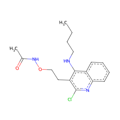 CCCCNc1c(CCONC(C)=O)c(Cl)nc2ccccc12